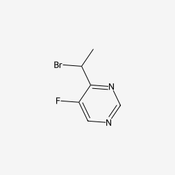 CC(Br)c1ncncc1F